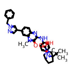 Cn1c(=O)c(Nc2ccc(N3C4CCC3(C(C)(C)C)CN(C(=O)O)C4)cc2)nc2ccc(-c3cnn(Cc4ccccc4)c3)cc21